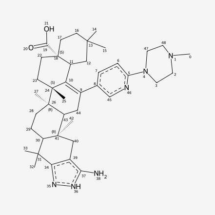 CN1CCN(c2ccc(C3=C4C5CC(C)(C)CC[C@]5(C(=O)O)CC[C@@]4(C)[C@]4(C)CCC5C(C)(C)c6n[nH]c(N)c6C[C@]5(C)C4C3)cn2)CC1